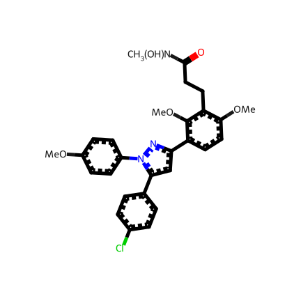 COc1ccc(-n2nc(-c3ccc(OC)c(CCC(=O)N(C)O)c3OC)cc2-c2ccc(Cl)cc2)cc1